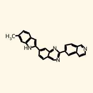 Cc1ccc2cc(-c3ccc4cnc(-c5ccc6cnccc6c5)nc4c3)[nH]c2c1